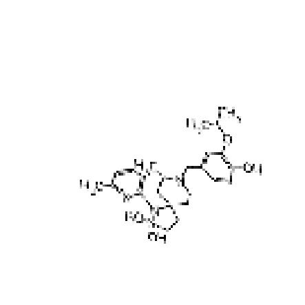 Cc1cccc(N2[C@@]3(CCN(Cc4ccc(O)c(OC(C)C)c4)[C@@H](C)C3)CCS2(O)O)n1